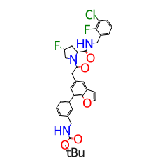 CC(C)(C)OC(=O)NCc1cccc(-c2cc(CC(=O)N3C[C@H](F)C[C@H]3C(=O)NCc3cccc(Cl)c3F)cc3ccoc23)c1